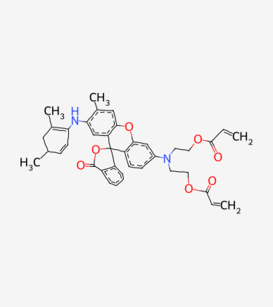 C=CC(=O)OCCN(CCOC(=O)C=C)c1ccc2c(c1)Oc1cc(C)c(NC3=C(C)CC(C)C=C3)cc1C21OC(=O)c2ccccc21